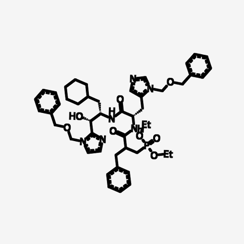 CCOP(=O)(CC(Cc1ccccc1)C(=O)N[C@@H](Cc1cncn1COCc1ccccc1)C(=O)N[C@@H](CC1CCCCC1)[C@@H](O)c1nccn1COCc1ccccc1)OCC